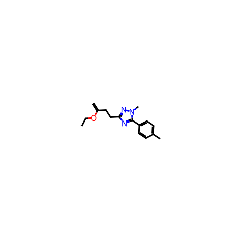 C=C(CCc1nc(-c2ccc(C)cc2)n(C)n1)OCC